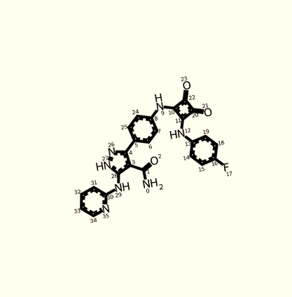 NC(=O)c1c(-c2ccc(Nc3c(Nc4ccc(F)cc4)c(=O)c3=O)cc2)n[nH]c1Nc1ccccn1